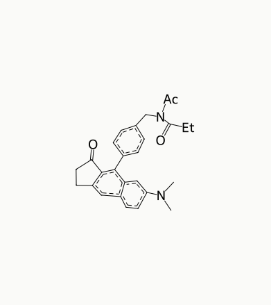 CCC(=O)N(Cc1ccc(-c2c3c(cc4ccc(N(C)C)cc24)CCC3=O)cc1)C(C)=O